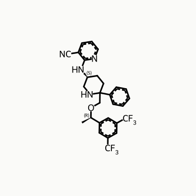 C[C@@H](OCC1(c2ccccc2)CC[C@H](Nc2ncccc2C#N)CN1)c1cc(C(F)(F)F)cc(C(F)(F)F)c1